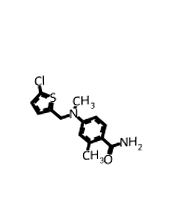 Cc1cc(N(C)Cc2ccc(Cl)s2)ccc1C(N)=O